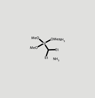 CCC(CC)[Si](OC)(OC)OC.N.N